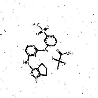 CS(=O)(=O)c1cccc(Nc2nccc(Nc3n[nH]c4c3CCC4)n2)c1.O=C(O)C(F)(F)F